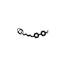 Fc1ccc(-c2ccc(CC=CCCN3CCOCC3)cc2)cc1